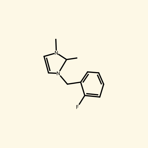 CC1N(C)C=CN1Cc1ccccc1F